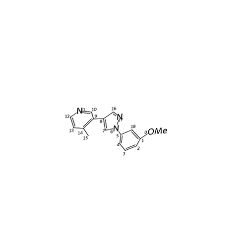 COc1cccc(-n2cc(-c3cnccc3C)cn2)c1